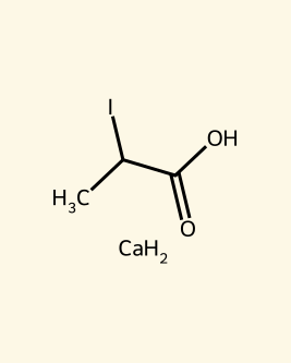 CC(I)C(=O)O.[CaH2]